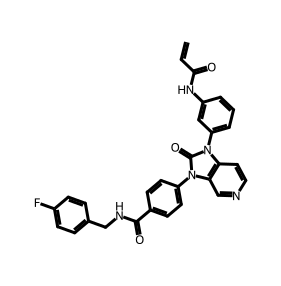 C=CC(=O)Nc1cccc(-n2c(=O)n(-c3ccc(C(=O)NCc4ccc(F)cc4)cc3)c3cnccc32)c1